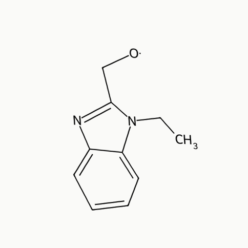 CCn1c(C[O])nc2ccccc21